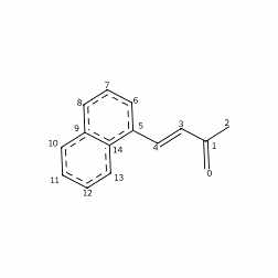 C=C(C)C=Cc1cccc2ccccc12